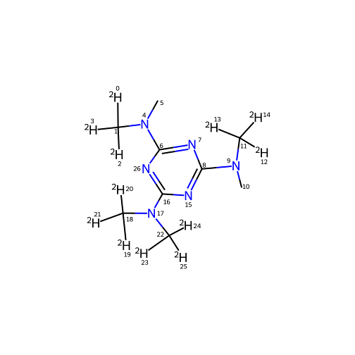 [2H]C([2H])([2H])N(C)c1nc(N(C)C([2H])([2H])[2H])nc(N(C([2H])([2H])[2H])C([2H])([2H])[2H])n1